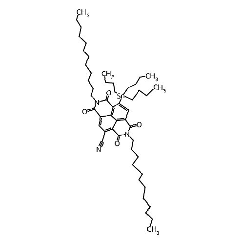 CCCCCCCCCCCCN1C(=O)c2c[c]([Sn]([CH2]CCC)([CH2]CCC)[CH2]CCC)c3c4c(cc(C#N)c(c24)C1=O)C(=O)N(CCCCCCCCCCCC)C3=O